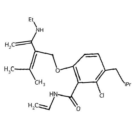 C=CNC(=O)c1c(OCC(C(=C)NCC)=C(C)C)ccc(CC(C)C)c1Cl